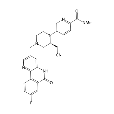 CNC(=O)c1ccc(N2CCN(Cc3cnc4c(c3)[nH]c(=O)c3cc(F)ccc34)C[C@@H]2CC#N)cn1